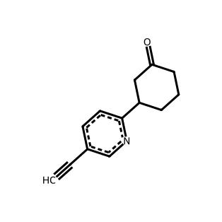 C#Cc1ccc(C2CCCC(=O)C2)nc1